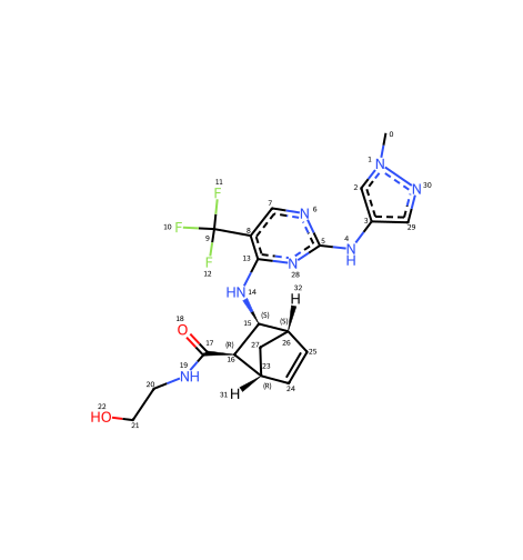 Cn1cc(Nc2ncc(C(F)(F)F)c(N[C@@H]3[C@H](C(=O)NCCO)[C@H]4C=C[C@@H]3C4)n2)cn1